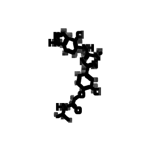 CC(C)NC(=O)COc1ccc(-c2nc(Nc3ccc4[nH]ncc4c3Cl)n(C)n2)cc1Cl